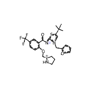 CC(C)(C)c1cn(Cc2ccco2)/c(=N/C(=O)c2cc(C(F)(F)F)ccc2OC[C@H]2CCCN2)s1